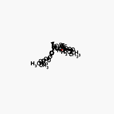 CC(C)(C)C(=O)OCOC(=O)COc1ccc(-c2cn(C3CC3)c(=O)n2Cc2ccc(C(F)(F)P(=O)(O)OCOC(=O)C(C)(C)C)c(Br)c2)cc1